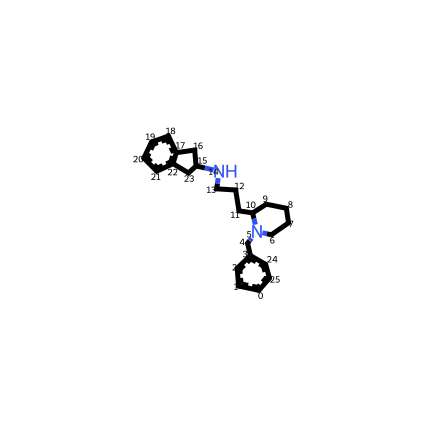 c1ccc(CN2CCCCC2CCCNC2Cc3ccccc3C2)cc1